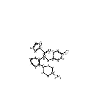 CN1CCN(c2ccccc2N(Cc2ccc(Cl)cc2)C(=O)c2ccco2)CC1